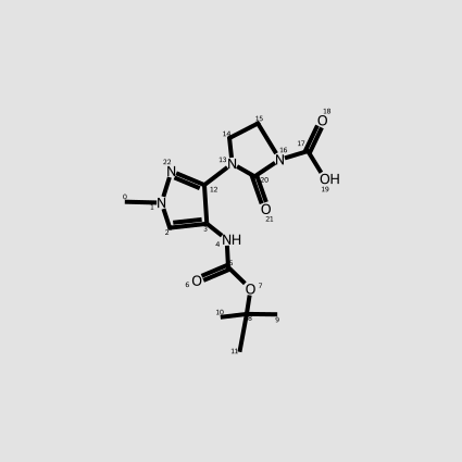 Cn1cc(NC(=O)OC(C)(C)C)c(N2CCN(C(=O)O)C2=O)n1